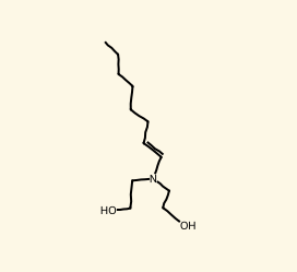 CCCCCCC=CN(CCO)CCO